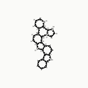 c1ccc2c(c1)sc1ccc3c(sc4ccc5c6cccnc6c6nccn6c5c43)c12